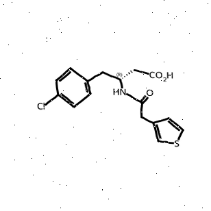 O=C(O)C[C@@H](Cc1ccc(Cl)cc1)NC(=O)Cc1ccsc1